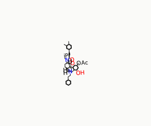 CC(=O)Oc1cc(O)c2c3c1O[C@H]1[C@@H](N(CC(C)C)C(=O)C#Cc4ccc(C)c(C)c4)CC[C@H]4[C@@H](C2)N(CCc2ccccc2)CC[C@@]341